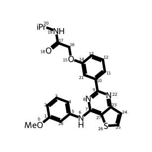 COc1cccc(Nc2nc(-c3cccc(OCC(=O)NC(C)C)c3)nc3ccsc23)c1